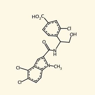 Cn1c(C(=O)NC(CO)c2ccc(C(=O)O)cc2Cl)cc2c(Cl)c(Cl)ccc21